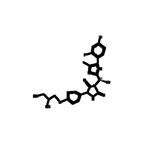 Cc1nc([C@H](C(C)C)N2C(=O)NC(c3ccc(OCC(O)CO)cc3)C2=O)[nH]c1-c1ccc(Br)cc1F